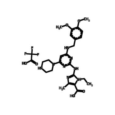 CC[SH]1C(Nc2nc(NCc3ccc(OC)c(OC)c3)cc(N3CCNCC3)n2)=NC(C)=C1C(=O)O.O=C(O)C(F)(F)F